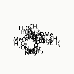 CC[C@H]1OC(=O)[C@H](C)[C@@H](OC2C[C@@](C)(OC)[C@@H](OC(=O)CCN(C)C)[C@H](C)O2)[C@H](C)[C@@H](O[C@@H]2O[C@H](C)C[C@H](N(C)C)[C@H]2O)[C@](C)(OC)C[C@@H](C)C(=O)N[C@H](C)[C@@H](O)[C@]1(C)O